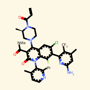 C=CC(=O)N1CCN(c2c(C(=O)NC)c(=O)n(-c3c(C)ccnc3C(C)C)c3c(F)c(-c4nc(N)cc(C)c4C(F)(F)F)c(Cl)cc23)C[C@H]1C